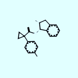 O=C(N[C@@H]1c2ccccc2C[C@@H]1O)C1(c2ccc(Cl)cc2)CC1